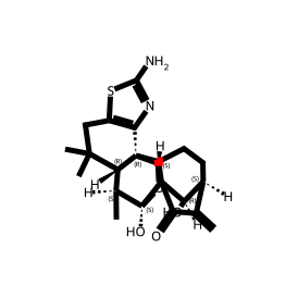 C=C1C(=O)C23[C@H](O)[C@H]1CC[C@H]2[C@@]12CO[C@@]3(O)[C@@H](C)[C@@H]1C(C)(C)Cc1sc(N)nc12